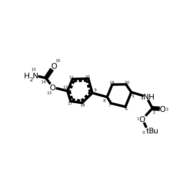 CC(C)(C)OC(=O)NC1CCC(c2ccc(OC(N)=O)cc2)CC1